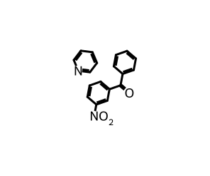 O=C(c1ccccc1)c1cccc([N+](=O)[O-])c1.c1ccncc1